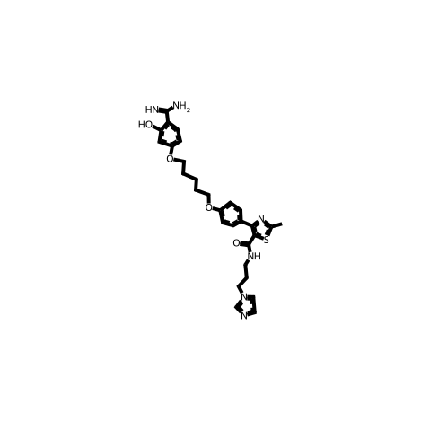 Cc1nc(-c2ccc(OCCCCCOc3ccc(C(=N)N)c(O)c3)cc2)c(C(=O)NCCCn2ccnc2)s1